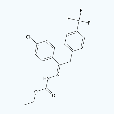 CCOC(=O)N/N=C(/Cc1ccc(C(F)(F)F)cc1)c1ccc(Cl)cc1